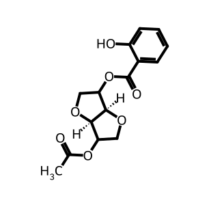 CC(=O)OC1CO[C@@H]2C(OC(=O)c3ccccc3O)CO[C@H]12